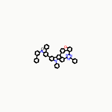 CN(c1cccc(-c2ccccc2)c1)c1ccc(-c2ccc3c(c2)c2cc(-c4ccc5oc6cccc(-c7nc(-c8ccccc8)nc(-c8ccccc8)n7)c6c5c4)ccc2n3-c2ccccc2)cc1-c1ccccc1